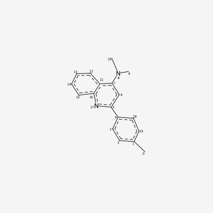 Cc1ccc(-c2cc(N(C)C)c3ccccc3n2)cc1